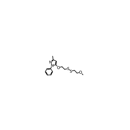 COCCSSCCOc1cc(C)nn1-c1ccccc1